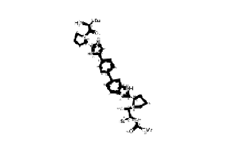 CCC(C)[C@H](N)C(=O)N1CCC[C@H]1c1ncc(-c2ccc(-c3ccc4nc([C@@H]5CCCN5C(=O)[C@@H](NC(=O)OC)C(C)CC)[nH]c4c3)cc2)[nH]1